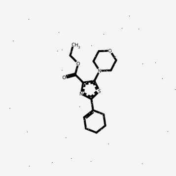 CCOC(=O)c1nc(C2=CCCCC2)sc1N1CCOCC1